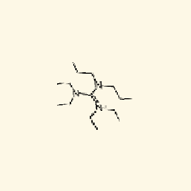 CCCN(CCC)C(N(CC)CC)=[N+](CC)CC